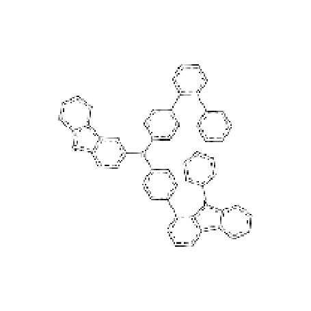 c1ccc(-c2ccccc2-c2ccc(N(c3ccc(-c4cccc5c6ccccc6n(-c6ccccc6)c45)cc3)c3ccc4sc5ccccc5c4c3)cc2)cc1